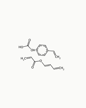 C=CC=COC(=O)C=C.C=Cc1ccccc1.O=C(O)O